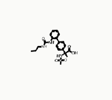 CCCNC(=O)Nc1ccccc1-c1ccc(C(C)(NS(C)(=O)=O)C(=O)O)cc1